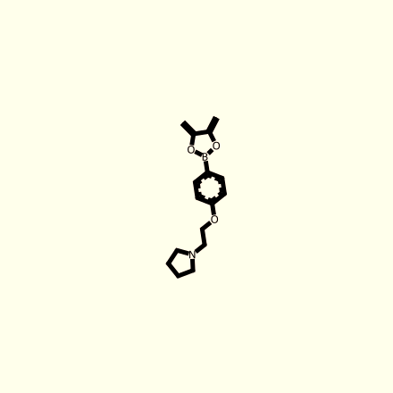 C=C1OB(c2ccc(OCCN3CCCC3)cc2)OC1=C